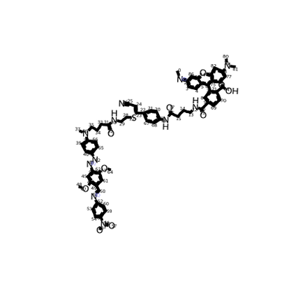 C/N=c1/ccc2c(-c3cc(C(=O)NCCCC(=O)Nc4ccc(C(=CC#N)SCCNC(=O)CCCN(C)c5ccc(/N=N/c6cc(OC)c(/C=N/c7ccc([N+](=O)[O-])cc7)cc6OC)cc5)cc4)ccc3C(=O)O)c3ccc(N(C)C)cc3oc-2c1